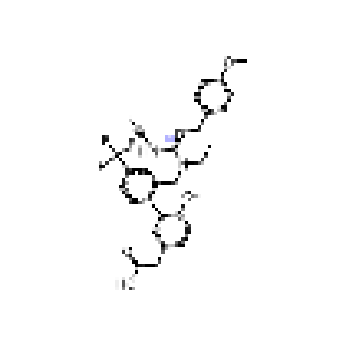 CCN(Cc1cc(C(F)(F)F)ccc1-c1cc(CC(=O)O)ccc1OC)/C(=N\Cc1ccc(OC)cc1)NC#N